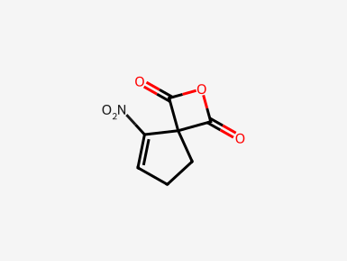 O=C1OC(=O)C12CCC=C2[N+](=O)[O-]